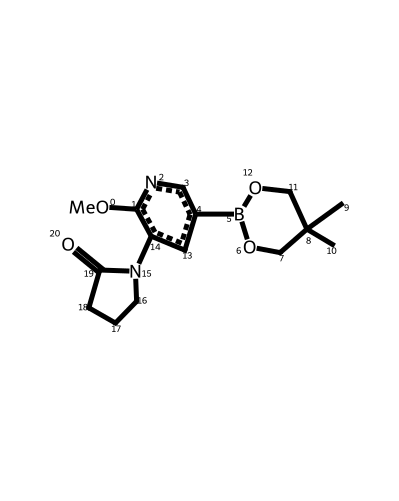 COc1ncc(B2OCC(C)(C)CO2)cc1N1CCCC1=O